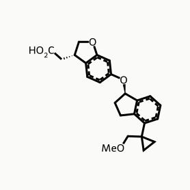 COCC1(c2cccc3c2CC[C@H]3Oc2ccc3c(c2)OC[C@H]3CC(=O)O)CC1